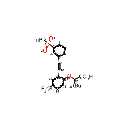 CCCS(=O)(=O)c1cccc(C#Cc2cc(C(F)(F)F)ccc2OC(C(=O)O)C(C)(C)C)c1